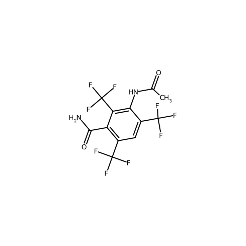 CC(=O)Nc1c(C(F)(F)F)cc(C(F)(F)F)c(C(N)=O)c1C(F)(F)F